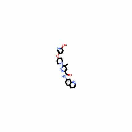 COc1ccc(OC2CCN(c3nnc(C(=O)N[C@@H]4CCc5cccnc5C4)cc3C)CC2)cn1